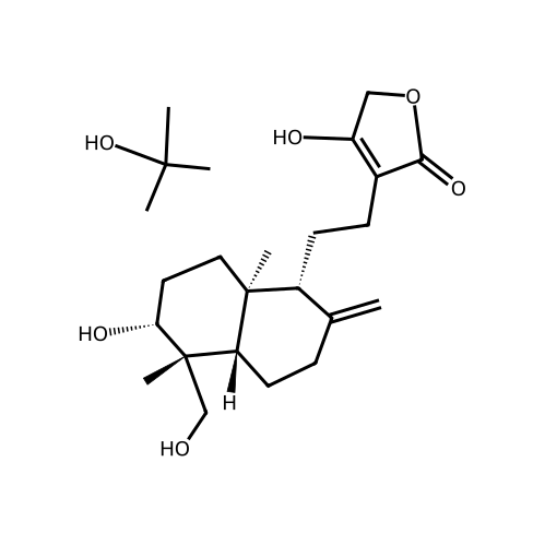 C=C1CC[C@@H]2[C@](C)(CO)[C@H](O)CC[C@@]2(C)[C@@H]1CCC1=C(O)COC1=O.CC(C)(C)O